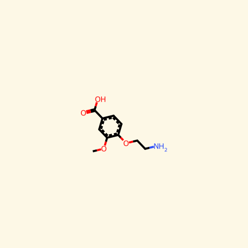 COc1cc(C(=O)O)ccc1OCCN